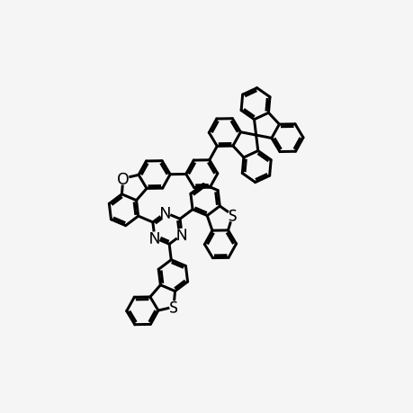 c1cc(-c2ccc3oc4cccc(-c5nc(-c6ccc7sc8ccccc8c7c6)nc(-c6cccc7sc8ccccc8c67)n5)c4c3c2)cc(-c2cccc3c2-c2ccccc2C32c3ccccc3-c3ccccc32)c1